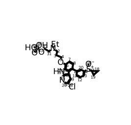 CCN(CCCOc1ccc(-c2cccc([S+]([O-])C3CC3)c2)c2c1[nH]c1ncc(Cl)cc12)CCOP(=O)(O)O